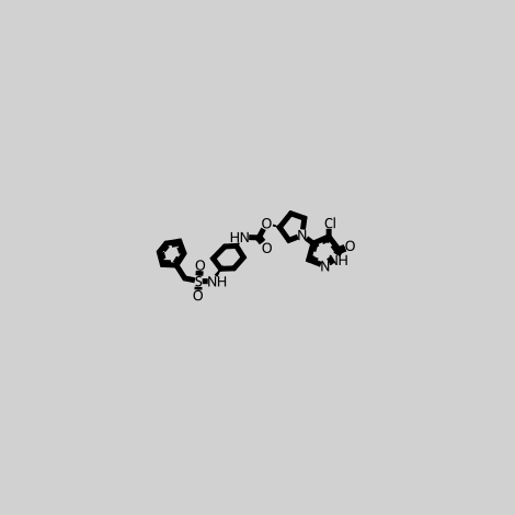 O=C(N[C@H]1CC[C@H](NS(=O)(=O)Cc2ccccc2)CC1)O[C@@H]1CCN(c2cn[nH]c(=O)c2Cl)C1